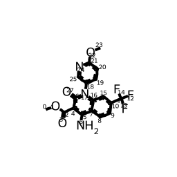 COC(=O)c1c(N)c2ccc(C(F)(F)F)cc2n(-c2ccc(OC)nc2)c1=O